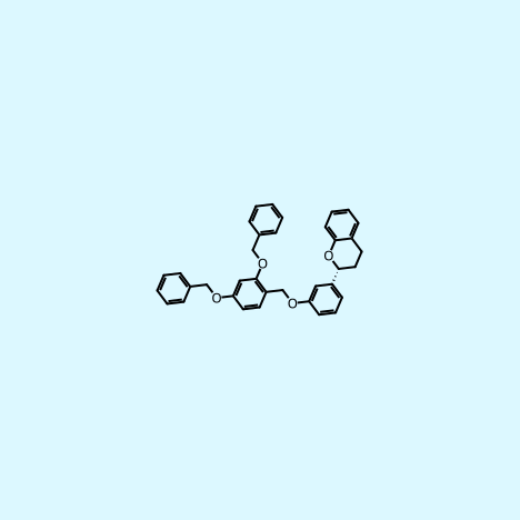 c1ccc(COc2ccc(COc3cccc([C@H]4CCc5ccccc5O4)c3)c(OCc3ccccc3)c2)cc1